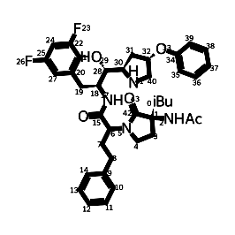 CC[C@@H](C)C1(NC(C)=O)CCN(C(CCc2ccccc2)C(=O)N[C@@H](Cc2cc(F)cc(F)c2)[C@H](O)[C@H]2C[C@H](Oc3ccccc3)CN2)C1=O